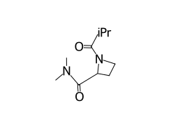 CC(C)C(=O)N1CCC1C(=O)N(C)C